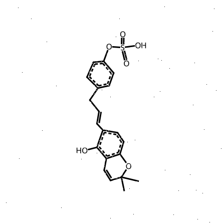 CC1(C)C=Cc2c(ccc(C=CCc3ccc(OS(=O)(=O)O)cc3)c2O)O1